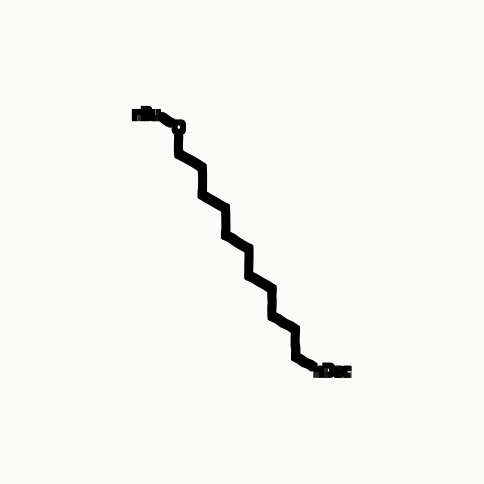 [CH2]CCCCCCCCCCCCCCCCCCCCOCCCC